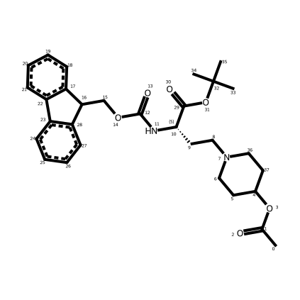 CC(=O)OC1CCN(CC[C@H](NC(=O)OCC2c3ccccc3-c3ccccc32)C(=O)OC(C)(C)C)CC1